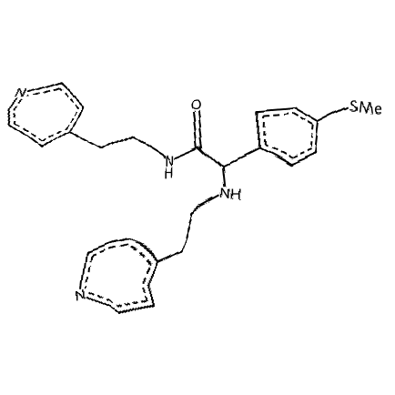 CSc1ccc(C(NCCc2ccncc2)C(=O)NCCc2ccncc2)cc1